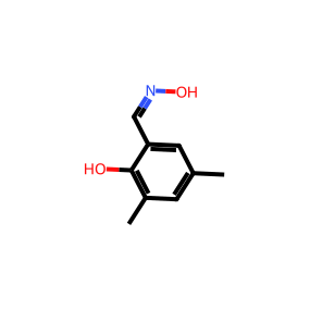 Cc1cc(C)c(O)c(/C=N\O)c1